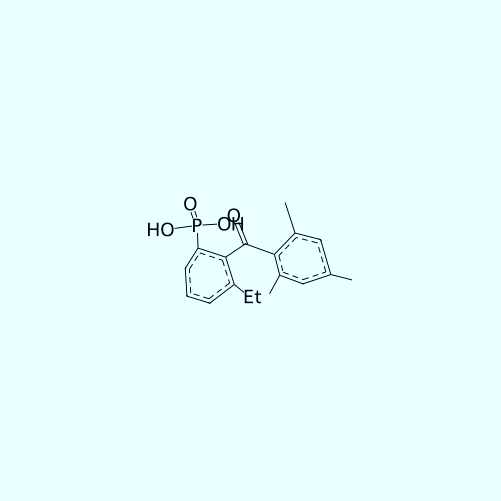 CCc1cccc(P(=O)(O)O)c1C(=O)c1c(C)cc(C)cc1C